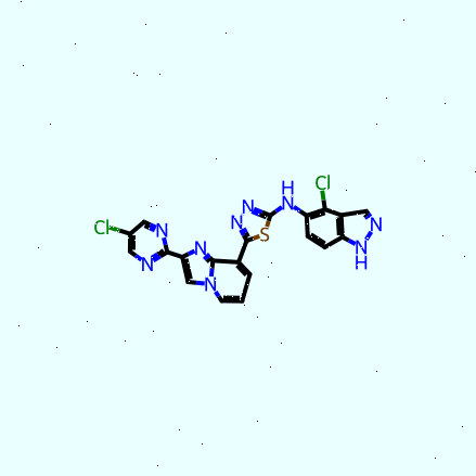 Clc1cnc(-c2cn3cccc(-c4nnc(Nc5ccc6[nH]ncc6c5Cl)s4)c3n2)nc1